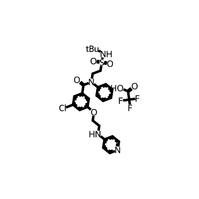 CC(C)(C)NS(=O)(=O)CCN(C(=O)c1cc(Cl)cc(OCCNc2ccncc2)c1)c1ccccc1.O=C(O)C(F)(F)F